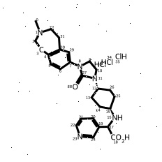 CN1CCc2ccc(N3CCN([C@H]4CC[C@H](NC(C(=O)O)c5cccnc5)CC4)C3=O)cc2CC1.Cl.Cl.Cl